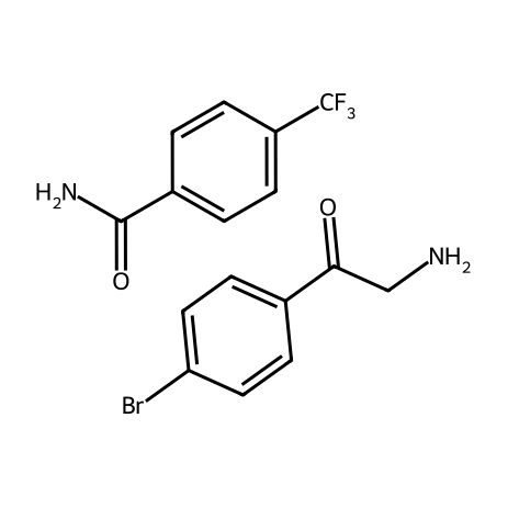 NC(=O)c1ccc(C(F)(F)F)cc1.NCC(=O)c1ccc(Br)cc1